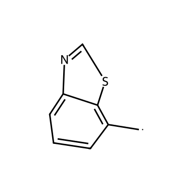 [CH2]c1cccc2ncsc12